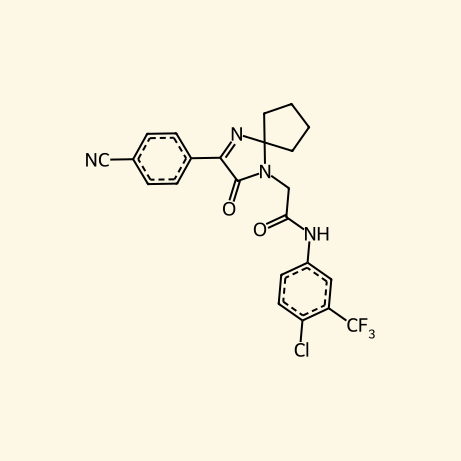 N#Cc1ccc(C2=NC3(CCCC3)N(CC(=O)Nc3ccc(Cl)c(C(F)(F)F)c3)C2=O)cc1